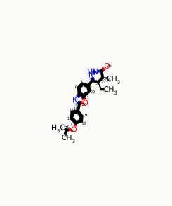 CC[C@H]1C(c2ccc3nc(-c4ccc(OC(C)C)cc4)oc3c2)=NNC(=O)[C@H]1C